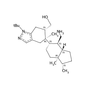 C[C@H]1CC[C@H]2[C@H](CN)[C@@H]([C@@]3(C)Cc4cnn(C(C)(C)C)c4C[C@@H]3CO)CC[C@]12C